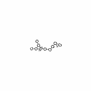 c1ccc(-c2ccc3c(c2)c2cc(-c4ccccc4)ccc2c2nc(-c4ccc(-c5cccc(-c6ccc(-c7cccc8c7sc7ccccc78)cc6)c5)cc4)cnc32)cc1